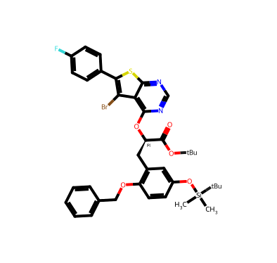 CC(C)(C)OC(=O)[C@@H](Cc1cc(O[Si](C)(C)C(C)(C)C)ccc1OCc1ccccc1)Oc1ncnc2sc(-c3ccc(F)cc3)c(Br)c12